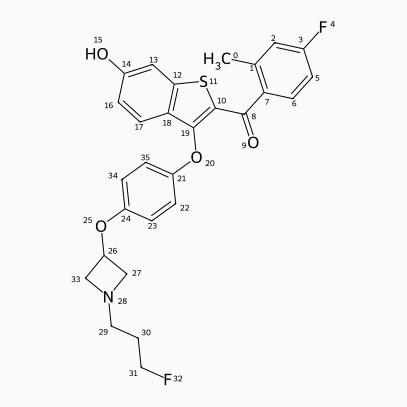 Cc1cc(F)ccc1C(=O)c1sc2cc(O)ccc2c1Oc1ccc(OC2CN(CCCF)C2)cc1